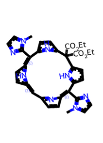 CCOC(=O)C1(C(=O)OCC)c2ccc([nH]2)/C(c2nccn2C)=C2/C=CC(=N2)/C=c2/cc/c([nH]2)=C(\c2nccn2C)c2ccc1[nH]2